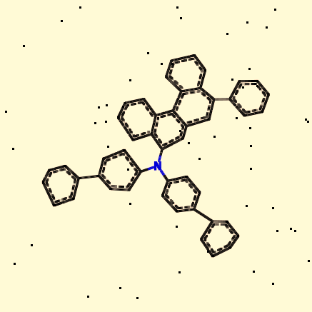 c1ccc(-c2ccc(N(c3ccc(-c4ccccc4)cc3)c3cc4cc(-c5ccccc5)c5ccccc5c4c4ccccc34)cc2)cc1